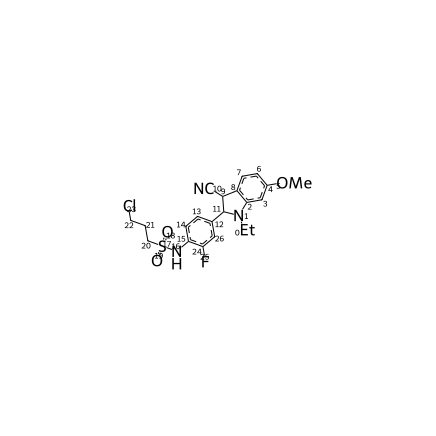 CCN1c2cc(OC)ccc2C(C#N)C1c1ccc(NS(=O)(=O)CCCCl)c(F)c1